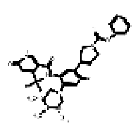 C[C@@H]1CN(c2cc(F)c(C3=CCN(C(=O)Oc4ccccc4)CC3)cc2NC(=O)c2c[nH]c(=O)cc2C(F)(F)F)C[C@H](C)N1C